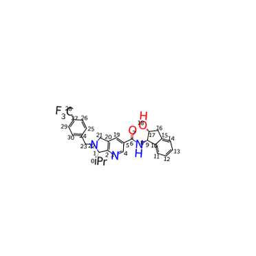 CC(C)[C@H]1c2ncc(C(=O)N[C@@H]3c4ccccc4C[C@@H]3O)cc2CN1Cc1ccc(C(F)(F)F)cc1